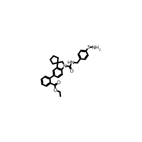 CCOC(=O)c1ccccc1-c1ccc2c(c1)C1(CCCC1)CN2C(=O)NCc1ccc(SN)cc1